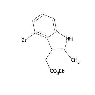 CCOC(=O)Cc1c(C)[nH]c2cccc(Br)c12